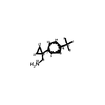 CC(C)(C)c1ccc(C2(CN)CC2)cc1